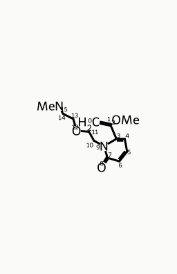 C=C(OC)c1cccc(=O)n1CCOCCNC